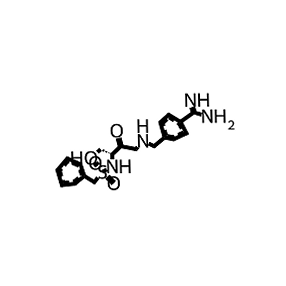 N=C(N)c1ccc(CNCC(=O)[C@@H](CO)NS(=O)(=O)Cc2ccccc2)cc1